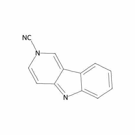 N#Cn1ccc2nc3ccccc3c-2c1